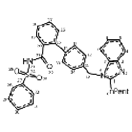 CCCCCc1nc2ccccc2n1Cc1ccc(-c2ccccc2C(=O)NS(=O)(=O)c2ccccc2)cc1